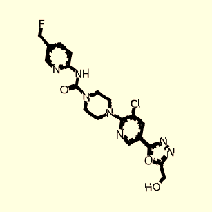 O=C(Nc1ccc(CF)cn1)N1CCN(c2ncc(-c3nnc(CO)o3)cc2Cl)CC1